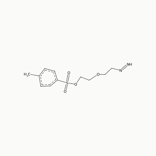 Cc1ccc(S(=O)(=O)OCCOCCN=N)cc1